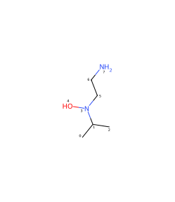 CC(C)N(O)CCN